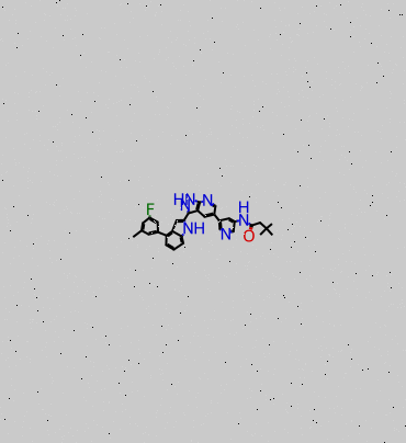 Cc1cc(F)cc(-c2cccc3[nH]c(-c4n[nH]c5ncc(-c6cncc(NC(=O)CC(C)(C)C)c6)cc45)cc23)c1